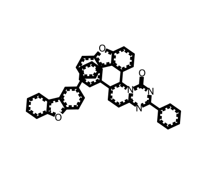 O=c1nc(-c2ccccc2)nc2ccc(-c3ccccc3)c(-c3cccc4oc5ccc(-c6ccc7oc8ccccc8c7c6)cc5c34)n12